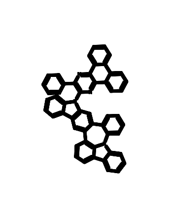 c1ccc(-c2nc3c4ccccc4c4ccccc4c3nc2-n2c3ccccc3c3cc4c(cc32)-c2ccccc2-n2c3ccccc3c3cccc-4c32)cc1